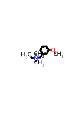 CC[N+](C)(C)Cc1cccc(OC)c1